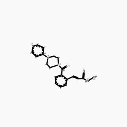 O=C(C=Cc1ccccc1C(=O)N1CCN(c2ccncc2)CC1)NO